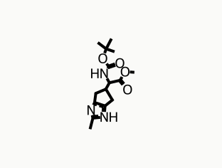 COC(=O)C(NC(=O)OC(C)(C)C)C1Cc2nc(C)[nH]c2C1